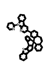 C1=Cc2ccc(-c3cnc4c(c3)c3ccccc3n4-c3ccccn3)cc2C2(c3ccccc31)c1ccccc1-c1c2ccc2c1sc1ccccc12